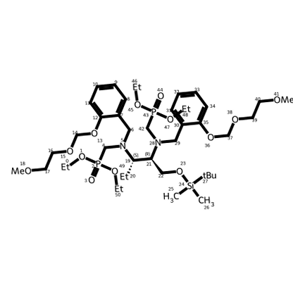 CCOP(=O)(CN(Cc1ccccc1OCOCCOC)[C@@H](CC)[C@H](CO[Si](C)(C)C(C)(C)C)N(Cc1ccccc1OCOCCOC)CP(=O)(OCC)OCC)OCC